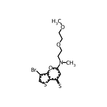 COCCOCCN(C)c1cc(=S)c2scc(Br)c2o1